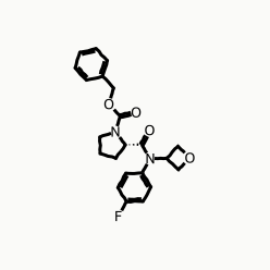 O=C([C@@H]1CCCN1C(=O)OCc1ccccc1)N(c1ccc(F)cc1)C1COC1